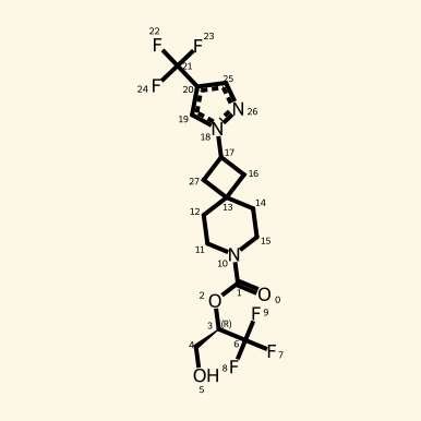 O=C(O[C@H](CO)C(F)(F)F)N1CCC2(CC1)CC(n1cc(C(F)(F)F)cn1)C2